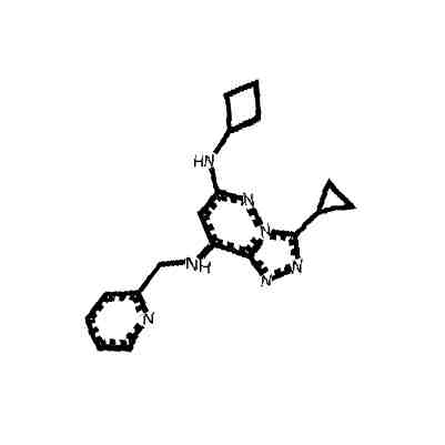 c1ccc(CNc2cc(NC3CCC3)nn3c(C4CC4)nnc23)nc1